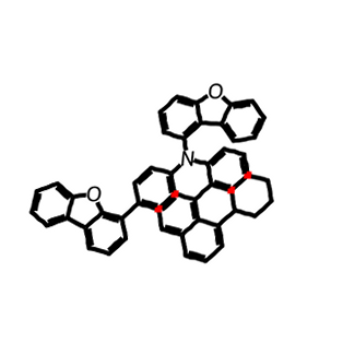 c1ccc(N(c2ccc(-c3cccc4c3oc3ccccc34)cc2)c2cccc3oc4ccccc4c23)c(-c2cccc3cccc(C4CCCCC4)c23)c1